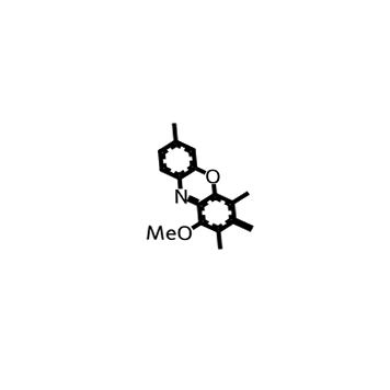 C=c1c(C)c(OC)c2c(c1C)Oc1cc(C)ccc1N=2